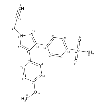 C#CCn1cc(-c2ccc(OC)cc2)c(-c2ccc(S(N)(=O)=O)cc2)n1